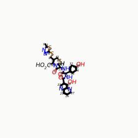 Cc1nnc(SCC2=C(C(=O)O)N3C(=O)C(NC(=O)C(NC(=O)c4cnc5cccnc5c4O)c4ccc(O)cc4)[C@@H]3SC2)s1